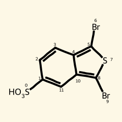 O=S(=O)(O)c1ccc2c(Br)sc(Br)c2c1